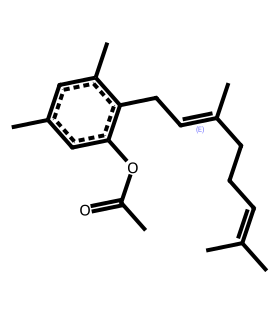 CC(=O)Oc1cc(C)cc(C)c1C/C=C(\C)CCC=C(C)C